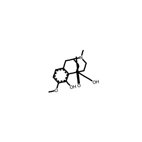 COc1ccc2c(c1O)C13CCN(C)C(C2)C1CCC(O)C3=O